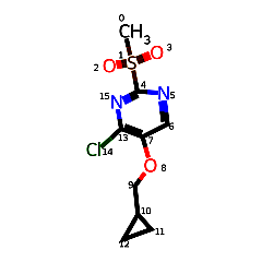 CS(=O)(=O)c1ncc(OCC2CC2)c(Cl)n1